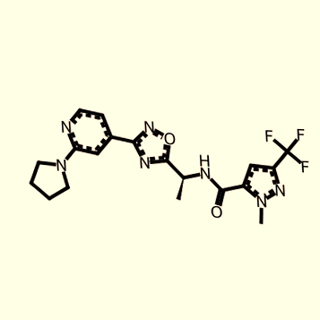 C[C@H](NC(=O)c1cc(C(F)(F)F)nn1C)c1nc(-c2ccnc(N3CCCC3)c2)no1